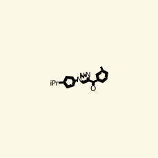 Cc1cccc(C(=O)c2cn(-c3ccc(C(C)C)cc3)nn2)c1